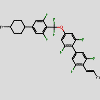 CCCC1CCC(c2cc(F)c(C(F)(F)Oc3cc(F)c(-c4cc(F)c(/C=C/C(F)(F)F)c(F)c4)c(F)c3)c(F)c2)CC1